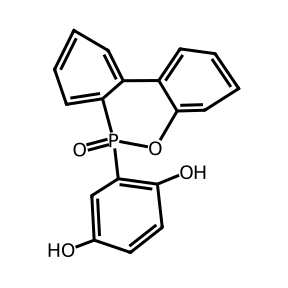 O=P1(c2cc(O)ccc2O)Oc2ccccc2-c2ccccc21